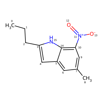 CCCc1cc2cc(C)cc([N+](=O)[O-])c2[nH]1